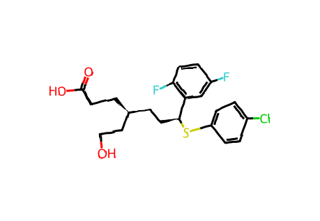 O=C(O)CC[C@H](CCO)CC[C@H](Sc1ccc(Cl)cc1)c1cc(F)ccc1F